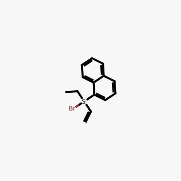 C=C[Si](Br)(CC)c1cccc2ccccc12